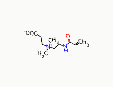 C=CC(=O)NCC[N+](C)(C)CCC(=O)[O-]